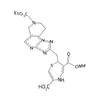 CCOC(=O)N1CCc2c(cnc3nc(CC4SC=C(C(=O)O)NC=C4C(=O)OC)nn23)C1